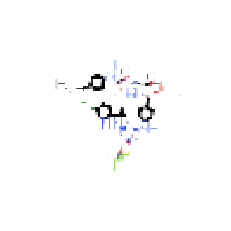 CCc1ccc(NC(=O)C(=O)NC[C@H](NC(=O)c2ccc(Nc3nc(NC4(c5ccc(Cl)cc5)CC4)nc(OCC(F)(F)F)n3)cc2)C(=O)OC)cc1